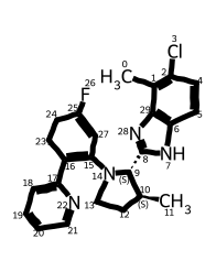 Cc1c(Cl)ccc2[nH]c([C@@H]3[C@@H](C)CCN3C3=C(c4ccccn4)[CH]CC(F)=C3)nc12